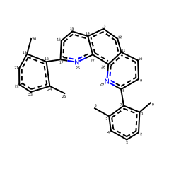 Cc1cccc(C)c1-c1ccc2ccc3ccc(-c4c(C)cccc4C)nc3c2n1